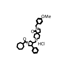 COc1ccc(CN2CCC3(CCN(CC4CN(C(=O)C5CCCCCC5)CC4c4ccccc4)CC3)C2=O)cc1.Cl